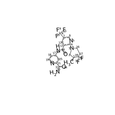 C[C@H]1CN(c2ncc(C(F)(F)F)cc2C(=O)Nc2ccnc(C(N)=O)c2)CCC1(F)F